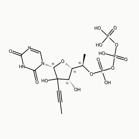 CC#CC1(O)[C@@H](O)[C@@H]([C@@H](C)OP(=O)(O)OP(=O)(O)OP(=O)(O)O)O[C@H]1n1cnc(=O)[nH]c1=O